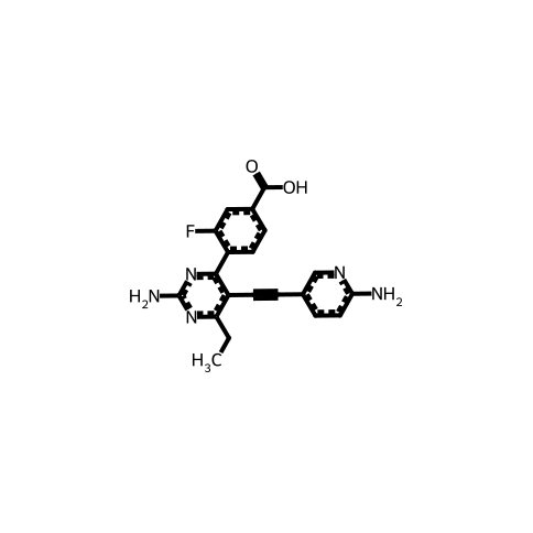 CCc1nc(N)nc(-c2ccc(C(=O)O)cc2F)c1C#Cc1ccc(N)nc1